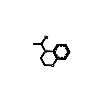 CC(Br)N1CCOc2ccccc21